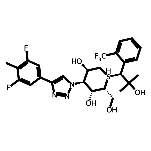 Cc1c(F)cc(-c2cn([C@@H]3[C@@H](O)[C@@H](CO)[SH](C(c4ccccc4C(F)(F)F)C(C)(C)O)C[C@@H]3O)nn2)cc1F